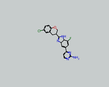 Nc1nccc(C2=CC3N=C(C4COc5ccc(Cl)cc5C4)NC3C(F)=C2)n1